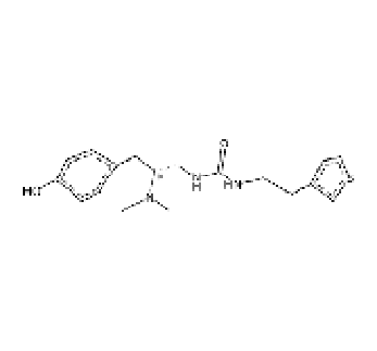 CN(C)[C@@H](CNC(=O)NCCc1ccsc1)Cc1ccc(O)cc1